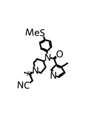 CSc1ccc(N(C(=O)c2cnccc2C)C2CCN([C@H](C)CC#N)CC2)cc1